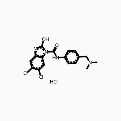 CN(C)Cc1ccc(NC(=O)n2c(O)nc3cc(Cl)c(Cl)cc32)cc1.Cl